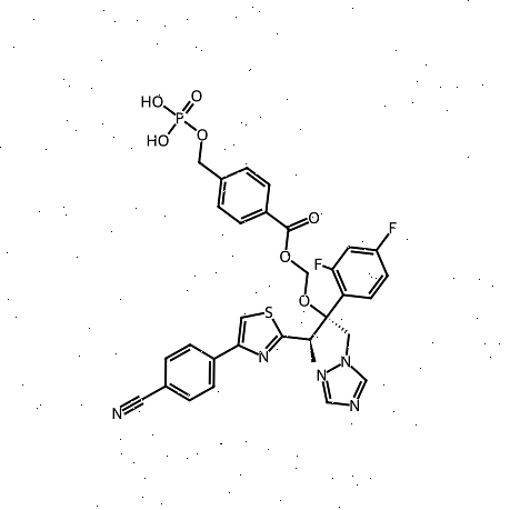 C[C@@H](c1nc(-c2ccc(C#N)cc2)cs1)[C@@](Cn1cncn1)(OCOC(=O)c1ccc(COP(=O)(O)O)cc1)c1ccc(F)cc1F